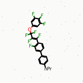 CCCc1ccc(-c2ccc(/C(F)=C(\F)C(F)(F)Oc3cc(F)c(F)c(F)c3)c(F)c2)cc1